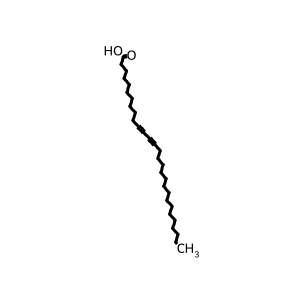 CCCCCCCCCCCCCCCC#CC#CCCCCCCCCCC(=O)O